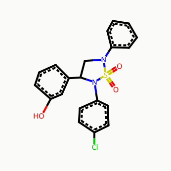 O=S1(=O)N(c2ccccc2)CC(c2cccc(O)c2)N1c1ccc(Cl)cc1